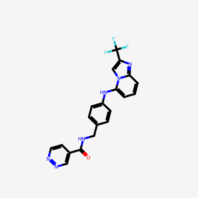 O=C(NCc1ccc(Nc2cccc3nc(C(F)(F)F)cn23)cc1)c1ccnnc1